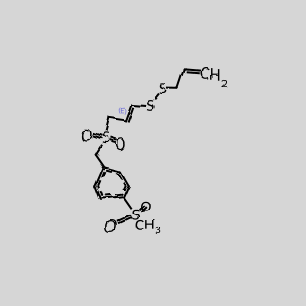 C=CCSS/C=C/CS(=O)(=O)Cc1ccc(S(C)(=O)=O)cc1